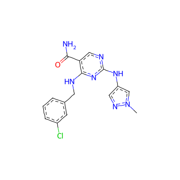 Cn1cc(Nc2ncc(C(N)=O)c(NCc3cccc(Cl)c3)n2)cn1